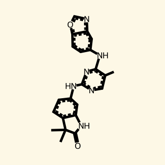 Cc1cnc(Nc2ccc3c(c2)NC(=O)C3(C)C)nc1Nc1ccc2ocnc2c1